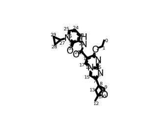 CCOc1nc2nc(C34COC(C)(C3)C4)cn2cc1C(=O)Nc1cccn(C2CC2)c1=O